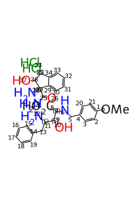 COc1ccc(CN[C@@H](C(=O)O)[C@@H](O)[C@@H](N)Cc2ccccc2)cc1.Cl.Cl.NC(=O)[C@]1(N)c2ccccc2CC1O